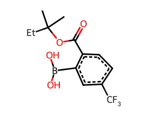 CCC(C)(C)OC(=O)c1ccc(C(F)(F)F)cc1B(O)O